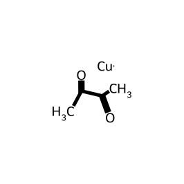 CC(=O)C(C)=O.[Cu]